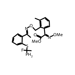 CO/N=C(/C(=O)OC)c1cccc(C)c1CO/N=C(\C)c1ccccc1SC(C)(F)P